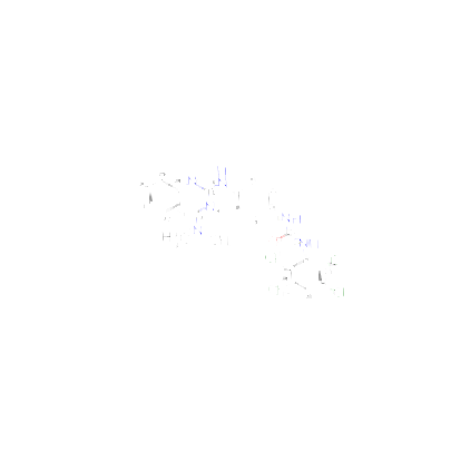 CN(C)c1nc(N[C@H]2CC[C@@H](NC(=O)Nc3c(Cl)c(Cl)cc(Cl)c3Cl)CC2)nc2ccccc12